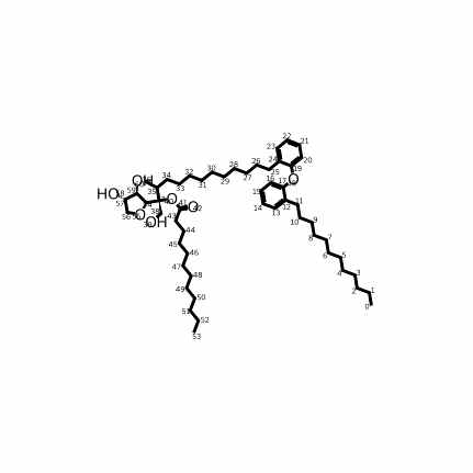 CCCCCCCCCCCCc1ccccc1Oc1ccccc1CCCCCCCCCCC(C)[C@](CO)(OC(=O)CCCCCCCCCCC)[C@H]1OC[C@H](O)[C@H]1O